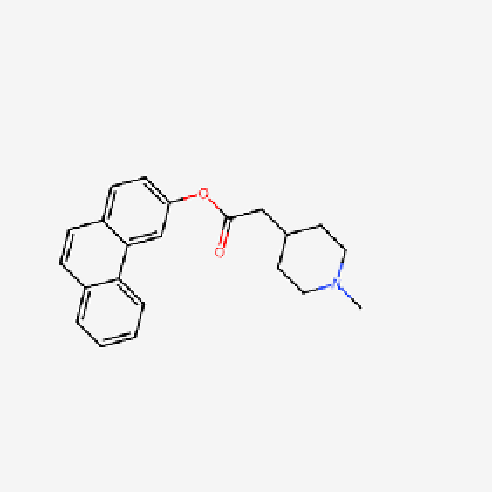 CN1CCC(CC(=O)Oc2ccc3ccc4ccccc4c3c2)CC1